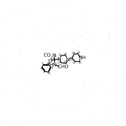 O=CNC(Oc1ccccc1)(C(=O)O)N1CCN(C2CCNCC2)CC1